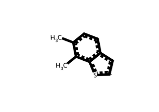 Cc1ccc2c[c]sc2c1C